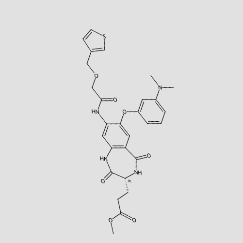 COC(=O)CC[C@H]1NC(=O)c2cc(Oc3cccc(N(C)C)c3)c(NC(=O)COCc3ccsc3)cc2NC1=O